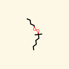 CCCCCC(C)(C)OOCCCC